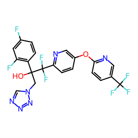 OC(Cn1cnnn1)(c1ccc(F)cc1F)C(F)(F)c1ccc(Oc2ccc(C(F)(F)F)cn2)cn1